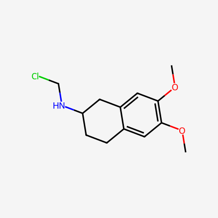 COc1cc2c(cc1OC)CC(NCCl)CC2